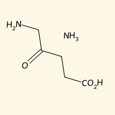 N.NCC(=O)CCC(=O)O